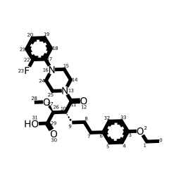 CCOc1ccc(CCC[C@@H](C(=O)N2CCN(c3ccccc3F)CC2)[C@H](OC)C(=O)O)cc1